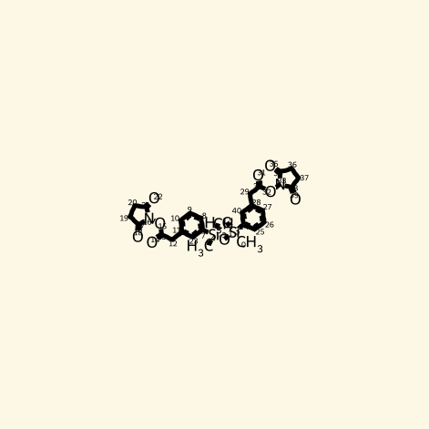 C[Si](C)(O[Si](C)(C)c1cccc(CC(=O)ON2C(=O)CCC2=O)c1)c1cccc(CC(=O)ON2C(=O)CCC2=O)c1